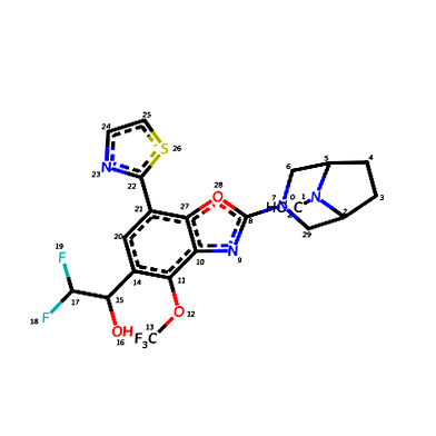 O=C(O)N1C2CCC1CN(c1nc3c(OC(F)(F)F)c(C(O)C(F)F)cc(-c4nccs4)c3o1)C2